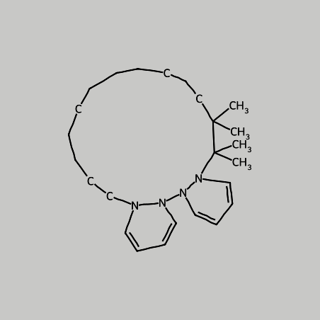 CC1(C)CCCCCCCCCCCN2C=CC=CN2N2C=CC=CN2C1(C)C